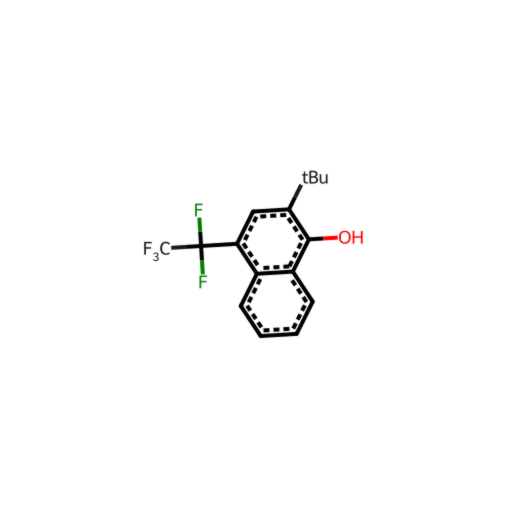 CC(C)(C)c1cc(C(F)(F)C(F)(F)F)c2ccccc2c1O